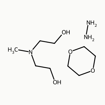 C1COCCO1.CN(CCO)CCO.NN